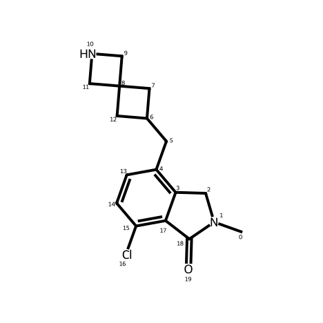 CN1Cc2c(CC3CC4(CNC4)C3)ccc(Cl)c2C1=O